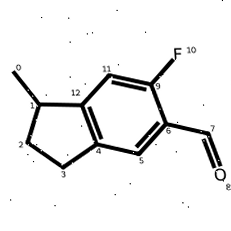 CC1CCc2cc(C=O)c(F)cc21